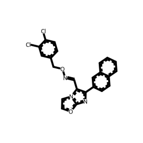 Clc1ccc(CO/N=C/c2c(-c3ccc4ccccc4c3)nc3occn23)cc1Cl